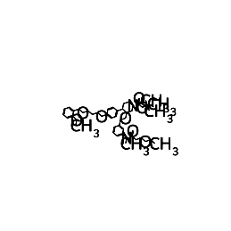 CCOCCC(=O)N(C)c1cccc(COC2CN(C(=O)OC(C)(C)C)CCC2c2ccc(OCCCOCc3ccccc3OC)cc2)c1